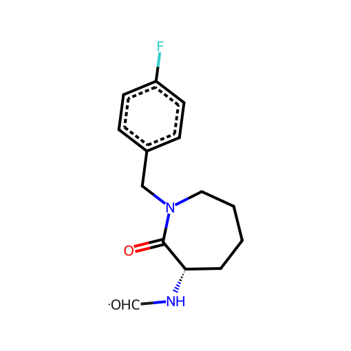 O=[C]N[C@H]1CCCCN(Cc2ccc(F)cc2)C1=O